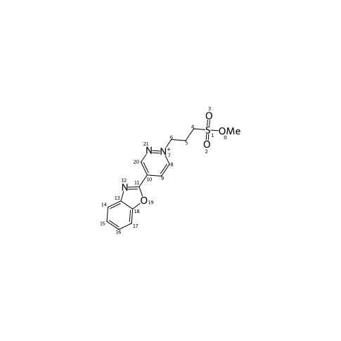 COS(=O)(=O)CCC[n+]1ccc(-c2nc3ccccc3o2)cn1